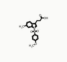 COc1ccc(S(=O)(=O)n2cc(CCC(=O)O)c3ccc(C)cc32)cc1